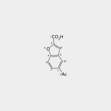 CC(=O)c1ccc2oc(C(=O)O)cc2c1